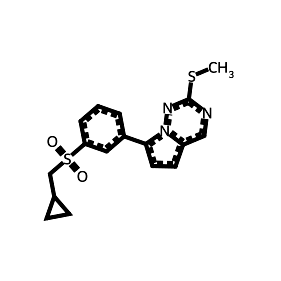 CSc1ncc2ccc(-c3cccc(S(=O)(=O)CC4CC4)c3)n2n1